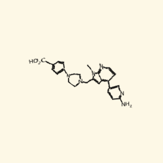 Cn1c(CN2CCN(c3ccc(C(=O)O)cc3)CC2)cc2c(-c3ccc(N)nc3)ccnc21